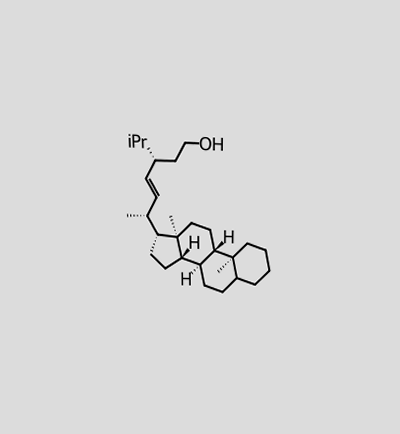 CC(C)[C@@H](C=C[C@@H](C)[C@H]1CC[C@H]2[C@@H]3CCC4CCCC[C@]4(C)[C@H]3CC[C@]12C)CCO